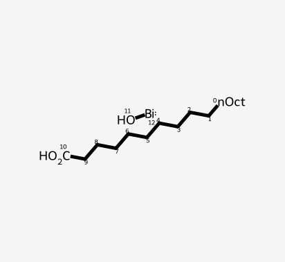 CCCCCCCCCCCCCCCCCC(=O)O.[OH][Bi]